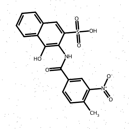 Cc1ccc(C(=O)Nc2c(S(=O)(=O)O)cc3ccccc3c2O)cc1[N+](=O)[O-]